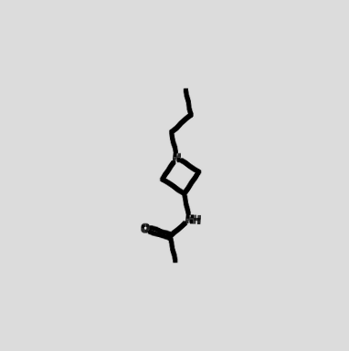 CCCN1CC(NC(C)=O)C1